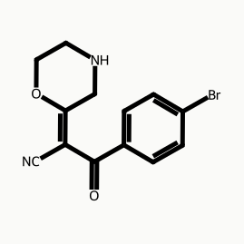 N#CC(C(=O)c1ccc(Br)cc1)=C1CNCCO1